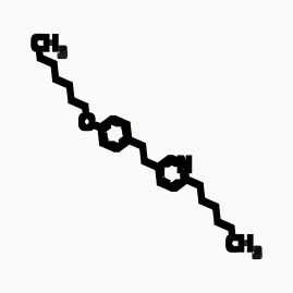 CCCCCCCOc1ccc(CCc2ccc(CCCCCC)nc2)cc1